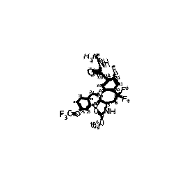 CC(C)(C)OC(=O)N[C@@H]1CC(F)(F)c2cc(F)c(C(=O)NN)cc2N(Cc2ccc(OC(F)(F)F)cc2)C1=O